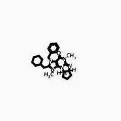 CN1C(=O)C2=C(N(C)C(CC3CCCCC3)N2Cc2ccccc2)N2C1=N[C@@H]1CCC[C@@H]12